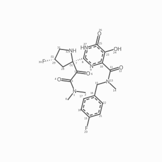 CN(C)C(=O)C(=O)[C@@]1(c2nc(C(=O)N(C)Cc3ccc(F)cc3)c(O)c(=O)[nH]2)C[C@H](F)CN1